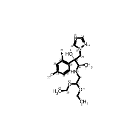 CCOC(CN[C@H](C)[C@](O)(Cn1cncn1)c1ccc(F)cc1F)OCC